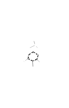 CCP(CC)CC.[C-]#[N+]c1cccc(Cl)c1Cl.[Pt]